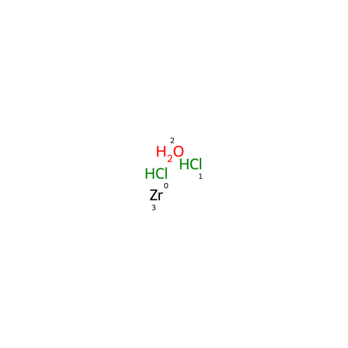 Cl.Cl.O.[Zr]